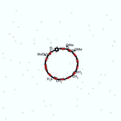 COCOC12CCC(C)(CC1)c1ccc(cc1)-c1ccc(cc1)C1(OCOC)CCC(OCOC)(CC1)c1ccc(cc1)-c1ccc(cc1)-c1ccc(cc1)C1(C)CCC(C)(CC1)c1ccc(cc1)-c1ccc(cc1)C1(C)CCC(C)(CC1)c1ccc(cc1)-c1ccc3cc(ccc3c1)-c1ccc2cc1